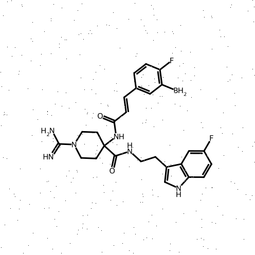 Bc1cc(/C=C/C(=O)NC2(C(=O)NCCc3c[nH]c4ccc(F)cc34)CCN(C(=N)N)CC2)ccc1F